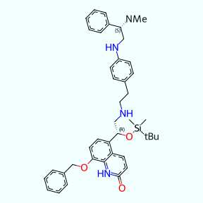 CN[C@H](CNc1ccc(CCNC[C@H](O[Si](C)(C)C(C)(C)C)c2ccc(OCc3ccccc3)c3[nH]c(=O)ccc23)cc1)c1ccccc1